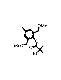 CCC(C)(C)C(=O)Oc1c(COC)cc(C)cc1COC